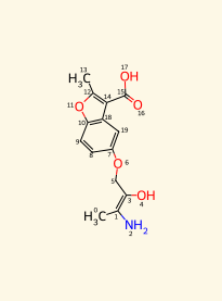 C/C(N)=C(/O)COc1ccc2oc(C)c(C(=O)O)c2c1